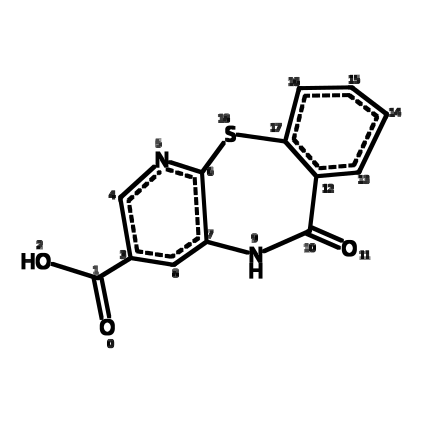 O=C(O)c1cnc2c(c1)NC(=O)c1ccccc1S2